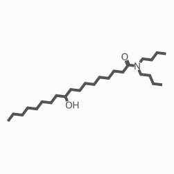 CCCCCCCCC(O)CCCCCCCCC(=O)N(CCCC)CCCC